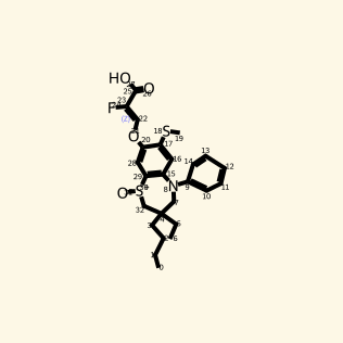 CCCCC1(CC)CN(c2ccccc2)c2cc(SC)c(O/C=C(\F)C(=O)O)cc2[S+]([O-])C1